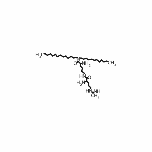 CCCCCCCCCCCCCCN(CCCCCCCCCCCC)C(=O)C(N)CCCCNC(=O)C(N)CCCNC(C)=N